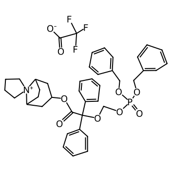 O=C(OC1CC2CCC(C1)[N+]21CCCC1)C(OCOP(=O)(OCc1ccccc1)OCc1ccccc1)(c1ccccc1)c1ccccc1.O=C([O-])C(F)(F)F